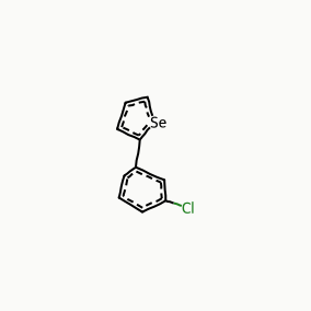 Clc1cccc(-c2ccc[se]2)c1